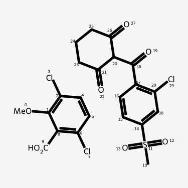 COc1c(Cl)ccc(Cl)c1C(=O)O.CS(=O)(=O)c1ccc(C(=O)C2C(=O)CCCC2=O)c(Cl)c1